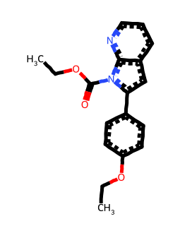 CCOC(=O)n1c(-c2ccc(OCC)cc2)cc2cccnc21